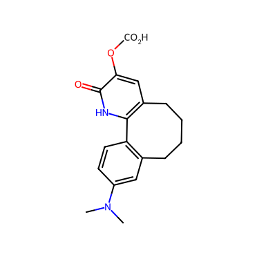 CN(C)c1ccc2c(c1)CCCCc1cc(OC(=O)O)c(=O)[nH]c1-2